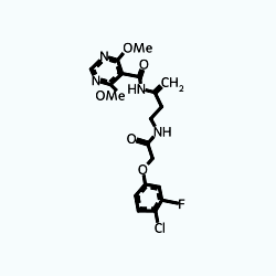 C=C(CCNC(=O)COc1ccc(Cl)c(F)c1)NC(=O)c1c(OC)ncnc1OC